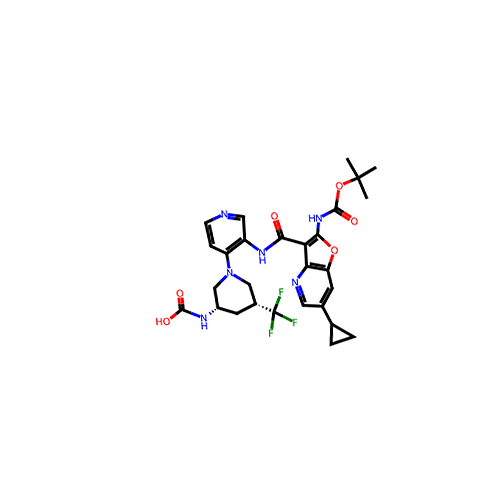 CC(C)(C)OC(=O)Nc1oc2cc(C3CC3)cnc2c1C(=O)Nc1cnccc1N1C[C@@H](NC(=O)O)C[C@@H](C(F)(F)F)C1